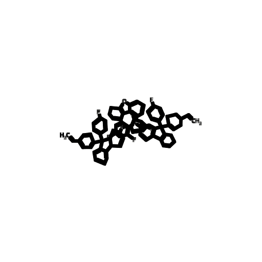 C=Cc1ccc(C2(c3ccc(F)cc3)c3ccccc3C3C=CC(N(C4=CCCc5oc6cccc(N(c7ccc8c(c7)C(C7=CCC(C=C)CC7)(c7ccc(F)cc7)C7=C8C=CCC7)c7ccc(F)cc7F)c6c54)C4C=CC(F)=CC4F)=CC32)cc1